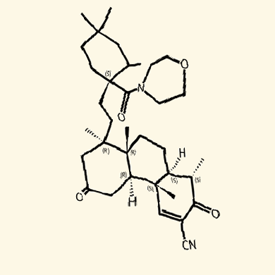 CC1CC(C)(C)CC[C@@]1(CC[C@]1(C)CC(=O)C[C@@H]2[C@@]3(C)C=C(C#N)C(=O)[C@@H](C)[C@@H]3CC[C@]21C)C(=O)N1CCOCC1